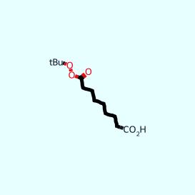 CC(C)(C)OOC(=O)CCCCCCCC(=O)O